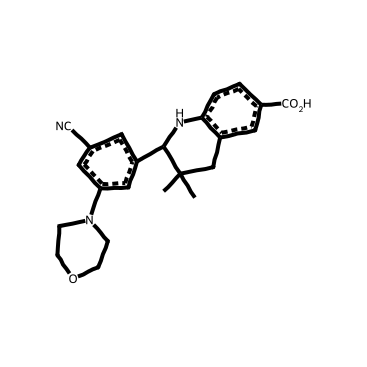 CC1(C)Cc2cc(C(=O)O)ccc2NC1c1cc(C#N)cc(N2CCOCC2)c1